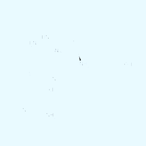 Nc1nc([C@@]2(N)c3cc(O)ccc3CC23CCNCC3)cnc1Sc1ccnc(N)c1Cl